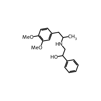 COc1ccc(CC(C)NCC(O)c2ccccc2)cc1OC